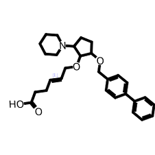 O=C(O)CC/C=C/COC1C(OCc2ccc(-c3ccccc3)cc2)CCC1N1CCCCC1